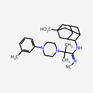 Cc1cccc(N2CCN(C(C)(C)/C(=N\C#N)NC3C4CC5CC3CC(C(=O)O)(C5)C4)CC2)c1